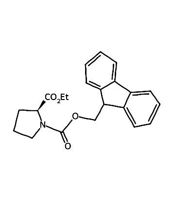 CCOC(=O)[C@@H]1CCCN1C(=O)OCC1c2ccccc2-c2ccccc21